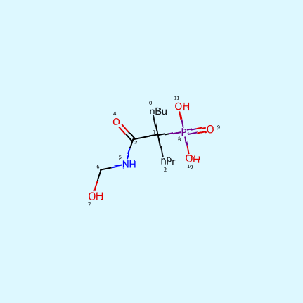 CCCCC(CCC)(C(=O)NCO)P(=O)(O)O